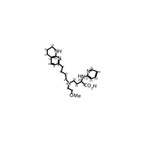 COCCN(CCCCc1ccc2c(n1)NCCC2)CCC(Nc1ccccn1)C(=O)O